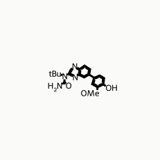 COc1cc(-c2ccc3ncc(N(C(N)=O)C(C)(C)C)nc3c2)ccc1O